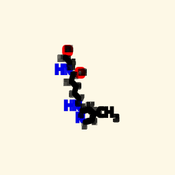 Cc1ccnc(NCCCCC(=O)NC[C]=O)c1